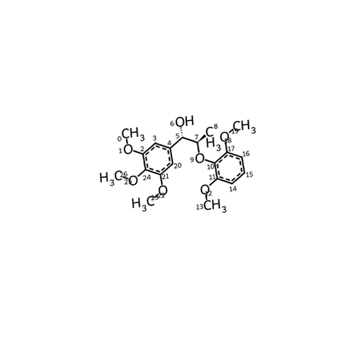 COc1cc([C@H](O)[C@@H](C)Oc2c(OC)cccc2OC)cc(OC)c1OC